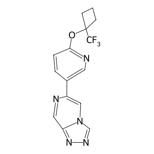 FC(F)(F)C1(Oc2ccc(-c3cn4cnnc4cn3)cn2)CCC1